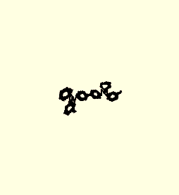 Cc1cccc(N(C2=CC=CCC2)c2ccc(-c3ccc(N(c4ccccc4)c4cccc(C)c4)cc3)cc2)c1